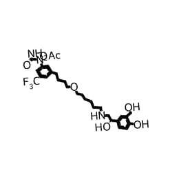 CC(=O)ON(C(N)=O)c1cc(CCCCOCCCCCCNC[C@@H](O)c2ccc(O)c(CO)c2)cc(C(F)(F)F)c1